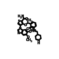 COc1cc2ncn(-c3csc(C(N)=O)c3O[C@H](C)c3cccc(NCC4CCNCC4)c3Cl)c2cc1OC